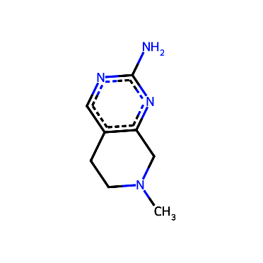 CN1CCc2cnc(N)nc2C1